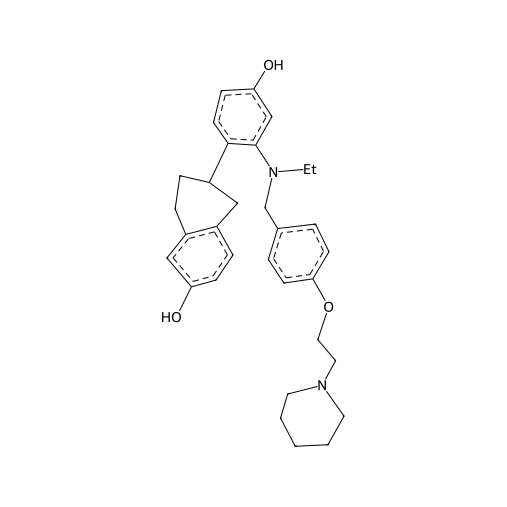 CCN(Cc1ccc(OCCN2CCCCC2)cc1)c1cc(O)ccc1C1CCc2cc(O)ccc2C1